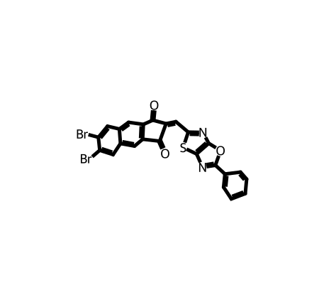 O=C1C(=Cc2nc3oc(-c4ccccc4)nc3s2)C(=O)c2cc3cc(Br)c(Br)cc3cc21